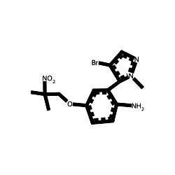 Cn1ncc(Br)c1-c1cc(OCC(C)(C)[N+](=O)[O-])ccc1N